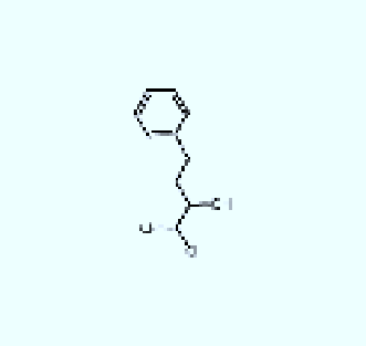 OC(CCc1ccccc1)C(Cl)Cl